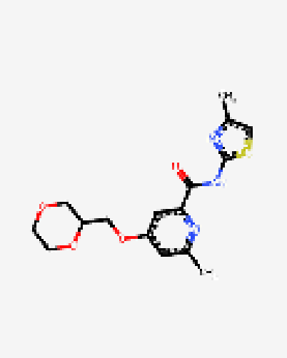 Cc1cc(OCC2COCCO2)cc(C(=O)Nc2nc(C)cs2)n1